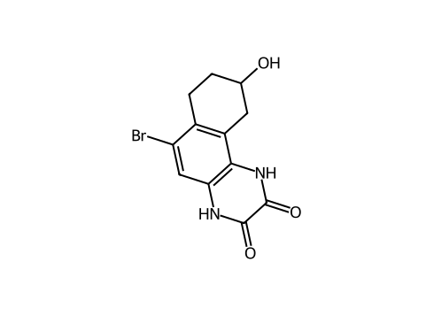 O=c1[nH]c2cc(Br)c3c(c2[nH]c1=O)CC(O)CC3